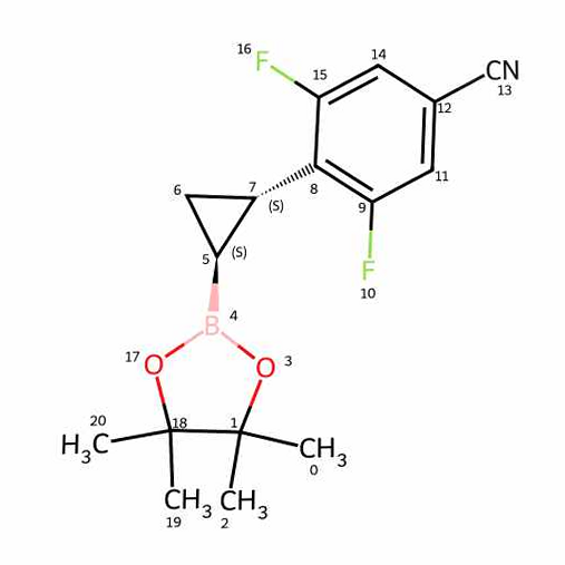 CC1(C)OB([C@H]2C[C@@H]2c2c(F)cc(C#N)cc2F)OC1(C)C